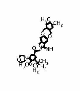 COc1c(N2CCOCC2)cc(C(=O)CN2Cc3cc4c(cc3C2=N)OCc2cc(C)c(C)cc2CO4)cc1C(C)(C)C